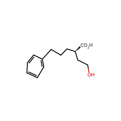 O=C(O)[C@@H](CCO)CCCc1ccccc1